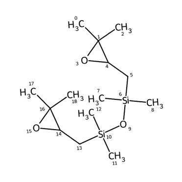 CC1(C)OC1C[Si](C)(C)O[Si](C)(C)CC1OC1(C)C